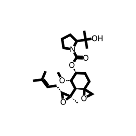 CO[C@@H]1[C@H](OC(=O)N2CCCC2C(C)(C)O)CCC2(CO2)[C@H]1[C@@]1(C)O[C@@H]1CC=C(C)C